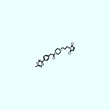 Cc1nnc(-c2ccc(CC(=O)N3CCN(CCCN4C(=O)C=CC4=O)CC3)cc2)nn1